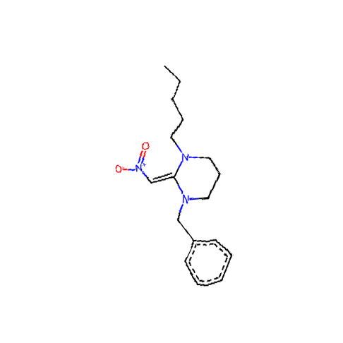 CCCCCN1CCCN(Cc2ccccc2)C1=C[N+](=O)[O-]